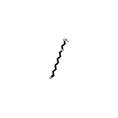 CCCOCCCCCCCC=O